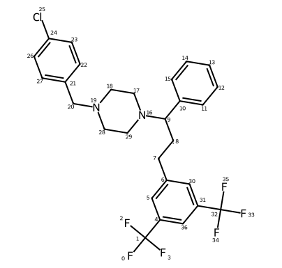 FC(F)(F)c1cc(C[CH]C(c2ccccc2)N2CCN(Cc3ccc(Cl)cc3)CC2)cc(C(F)(F)F)c1